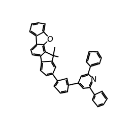 CC1(C)c2cc(-c3cccc(-c4cc(-c5ccccc5)nc(-c5ccccc5)c4)c3)ccc2-c2ccc3c(oc4ccccc43)c21